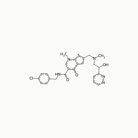 CN(Cc1cc2c(=O)c(C(=O)NCc3ccc(Cl)cc3)cn(C)c2s1)CC(O)c1cccnn1